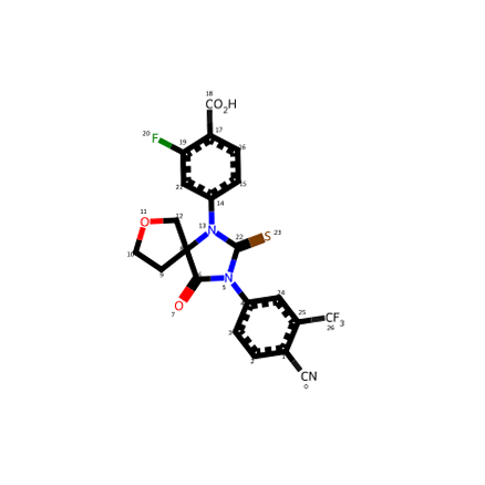 N#Cc1ccc(N2C(=O)C3(CCOC3)N(c3ccc(C(=O)O)c(F)c3)C2=S)cc1C(F)(F)F